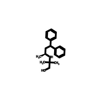 C[C@@H](CC(c1ccccc1)c1ccccc1)NC(C)(C)CO